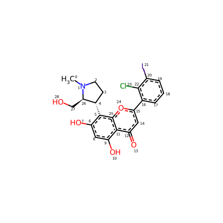 CN1CC[C@H](c2c(O)cc(O)c3c(=O)cc(-c4cccc(I)c4Cl)oc23)[C@H]1CO